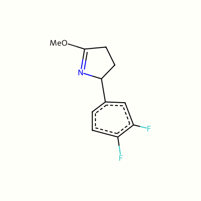 COC1=NC(c2ccc(F)c(F)c2)CC1